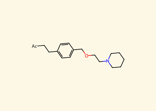 CC(=O)CCc1ccc(COCCN2CCCCC2)cc1